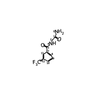 NC(=O)CNC(=O)c1cccc(C(F)(F)F)c1